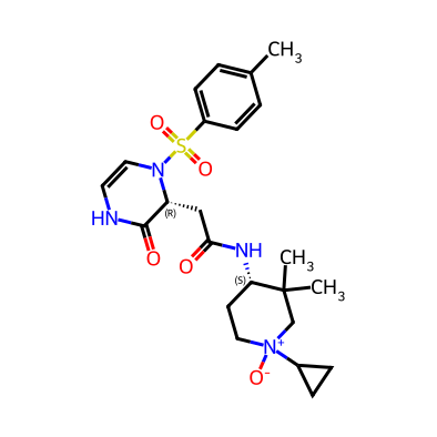 Cc1ccc(S(=O)(=O)N2C=CNC(=O)[C@H]2CC(=O)N[C@H]2CC[N+]([O-])(C3CC3)CC2(C)C)cc1